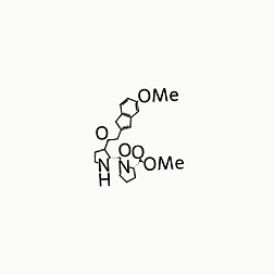 COC(=O)[C@@H]1CCCN1C(=O)[C@@H]1NCCC1C(=O)CC1=Cc2cc(OC)ccc2C1